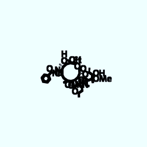 CC[C@H]1OC(=O)[C@H](C)[C@@H](OC2C[C@@](C)(OC)[C@@H](O)[C@H](C)O2)[C@H](C)[C@@H](OC2OC(C)CC(N(C)C)C2O)[C@](C)(OC)C[C@@H](C)/C(=N\NC(=O)c2ccccc2)[C@H](C)[C@@H](O)[C@]1(C)O